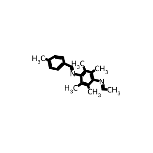 CC=Nc1c(C)c(C)c(N=Cc2ccc(C)cc2)c(C)c1C